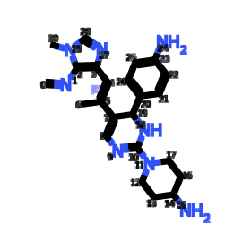 C=Nc1c(/C=C(\C)C2=CN=C(N3CCC(N)CC3)NC2c2ccc(N)cc2)ncn1C